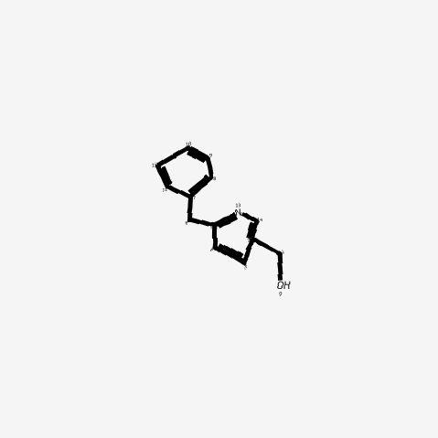 OCc1ccc(Cc2ccccc2)nc1